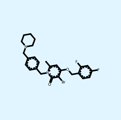 Cc1cc(OCc2ccc(F)cc2F)c(Br)c(=O)n1Cc1ccc(CN2CCCCC2)cc1